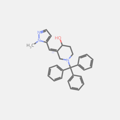 Cn1nccc1/C=C1/CN(C(c2ccccc2)(c2ccccc2)c2ccccc2)CCC1O